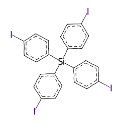 Ic1ccc([Si](c2ccc(I)cc2)(c2ccc(I)cc2)c2ccc(I)cc2)cc1